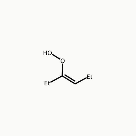 CCC=C(CC)OO